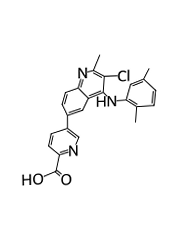 Cc1ccc(C)c(Nc2c(Cl)c(C)nc3ccc(-c4ccc(C(=O)O)nc4)cc23)c1